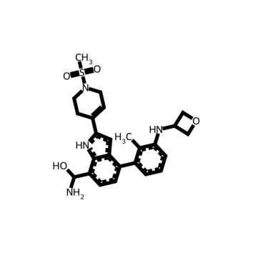 Cc1c(NC2COC2)cccc1-c1ccc(C(N)O)c2[nH]c(C3=CCN(S(C)(=O)=O)CC3)cc12